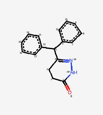 O=C1CCC(C(c2ccccc2)c2ccccc2)=NN1